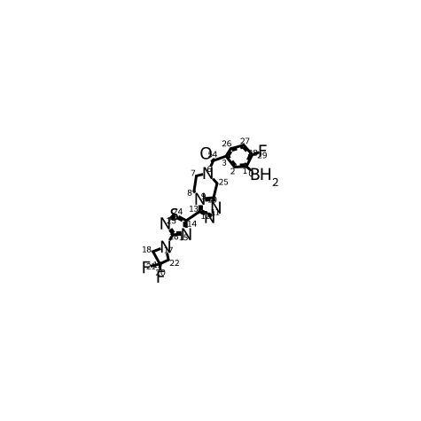 Bc1cc(C(=O)N2CCn3c(nnc3-c3nc(N4CC(F)(F)C4)ns3)C2)ccc1F